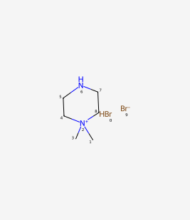 Br.C[N+]1(C)CCNCC1.[Br-]